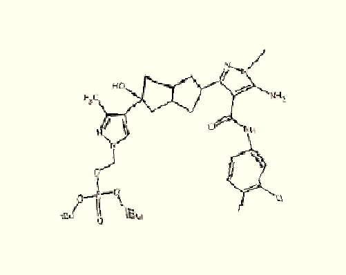 Cn1nc(C2CC3CC(O)(c4cn(COP(=O)(OC(C)(C)C)OC(C)(C)C)nc4C(F)(F)F)CC3C2)c(C(=O)Nc2ccc(F)c(Cl)c2)c1N